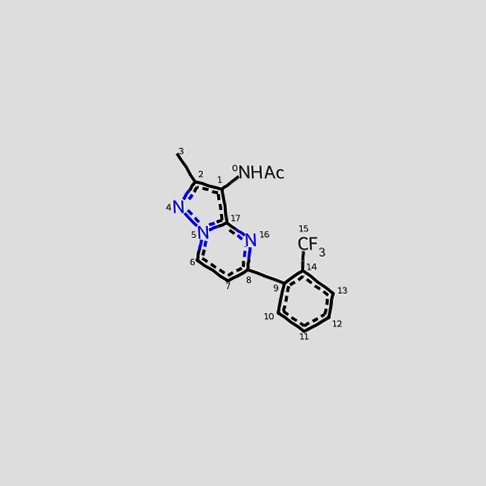 CC(=O)Nc1c(C)nn2ccc(-c3ccccc3C(F)(F)F)nc12